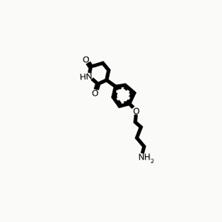 NCCCCOc1ccc(C2CCC(=O)NC2=O)cc1